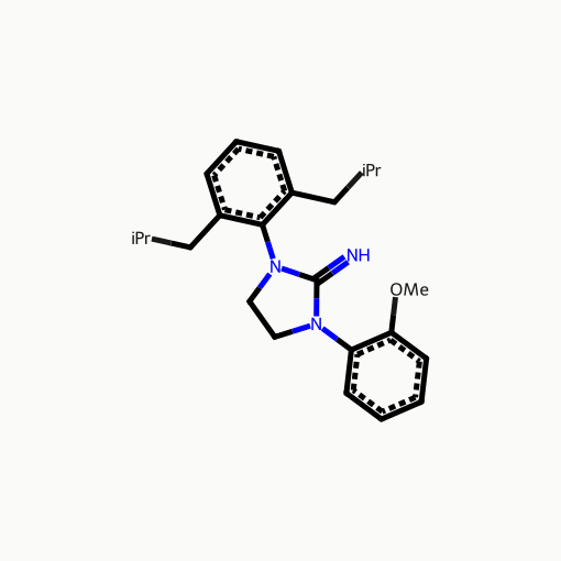 COc1ccccc1N1CCN(c2c(CC(C)C)cccc2CC(C)C)C1=N